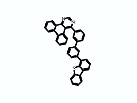 c1cc(-c2cccc(-c3ncnc4c5ccccc5c5ccccc5c34)c2)cc(-c2cccc3c2sc2ccccc23)c1